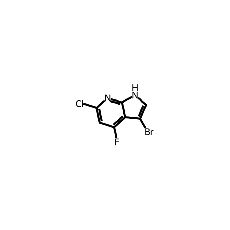 Fc1cc(Cl)nc2[nH]cc(Br)c12